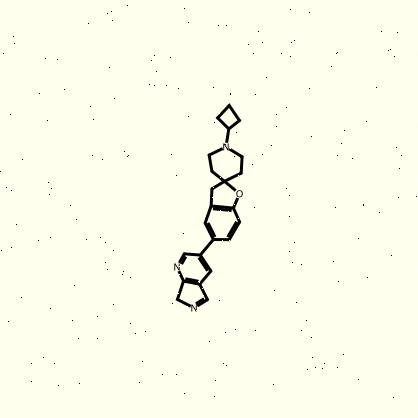 C1=NCc2ncc(-c3ccc4c(c3)CC3(CCN(C5CCC5)CC3)O4)cc21